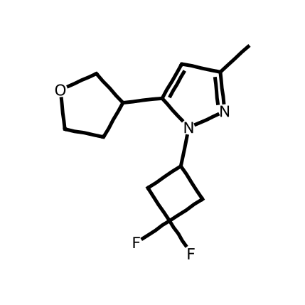 Cc1cc(C2CCOC2)n(C2CC(F)(F)C2)n1